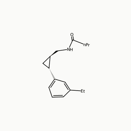 CCCC(=O)NC[C@@H]1C[C@H]1c1cccc(CC)c1